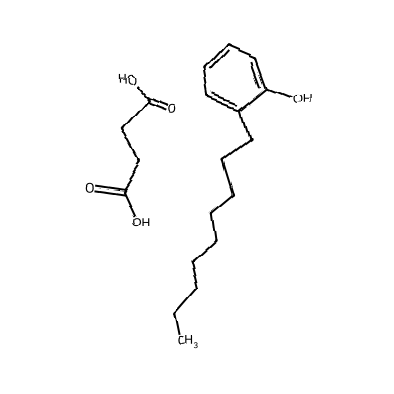 CCCCCCCCCc1ccccc1O.O=C(O)CCC(=O)O